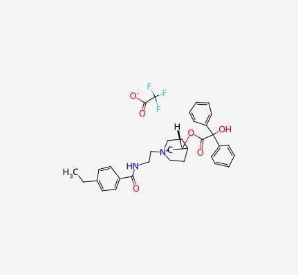 CCc1ccc(C(=O)NCC[N+]23CCC(CC2)[C@@H](OC(=O)C(O)(c2ccccc2)c2ccccc2)C3)cc1.O=C([O-])C(F)(F)F